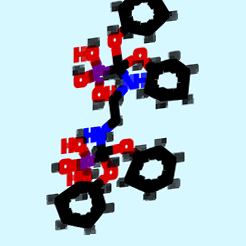 O=P(O)(O)C(NCCNC(Oc1ccccc1)(Oc1ccccc1)P(=O)(O)O)(Oc1ccccc1)Oc1ccccc1